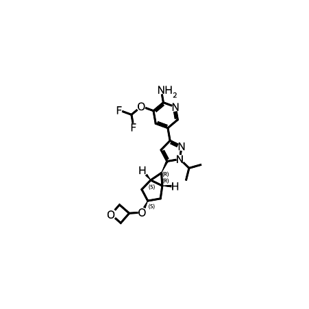 CC(C)n1nc(-c2cnc(N)c(OC(F)F)c2)cc1[C@H]1[C@@H]2C[C@@H](OC3COC3)C[C@@H]21